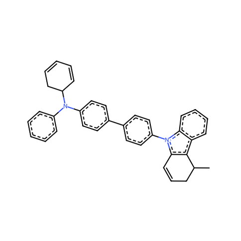 CC1CC=Cc2c1c1ccccc1n2-c1ccc(-c2ccc(N(c3ccccc3)C3C=CC=CC3)cc2)cc1